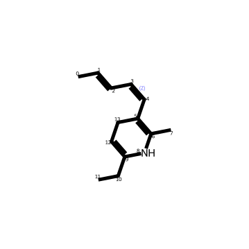 CC=C/C=C\C1=C(C)NC(CC)=CC1